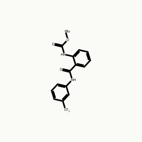 CC(C)(C)OC(=O)Nc1ccccc1C(=O)Nc1cccc(C(F)(F)F)c1